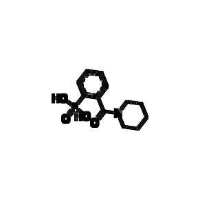 O=C(c1ccccc1P(=O)(O)O)N1CCCCC1